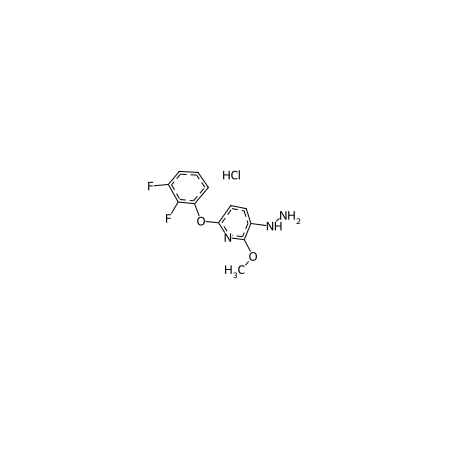 COc1nc(Oc2cccc(F)c2F)ccc1NN.Cl